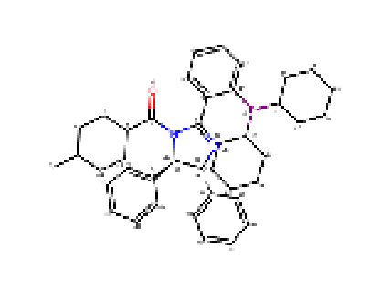 CC1CCC(C(=O)N2C(c3ccccc3P(C3CCCCC3)C3CCCCC3)=N[C@H](c3ccccc3)[C@H]2c2ccccc2)CC1